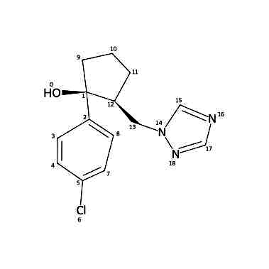 O[C@@]1(c2ccc(Cl)cc2)CCC[C@H]1Cn1cncn1